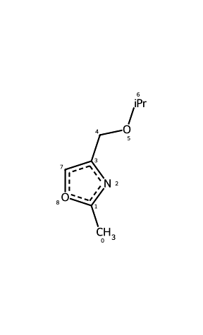 Cc1nc(COC(C)C)co1